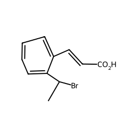 CC(Br)c1ccccc1/C=C/C(=O)O